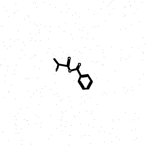 CC(F)C(=O)OC(=O)c1ccccc1